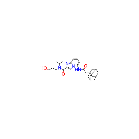 CC(C)N(CCCO)C(=O)c1cn2c(NC(=O)CC34CC5CC(CC(C5)C3)C4)cccc2n1